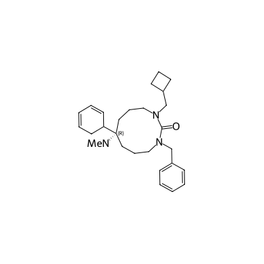 CN[C@@]1(C2C=CC=CC2)CCCN(Cc2ccccc2)C(=O)N(CC2CCC2)CCC1